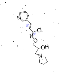 OC(CO/N=C(Cl)/C=C/c1cccnc1)CN1CCCC1